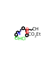 C#CCCCOC(COc1ccccc1C(=O)OCC)c1cccc(/C=C/c2ccc3ccc(Cl)cc3n2)c1.Cl